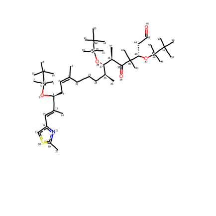 C/C(=C/C[C@H](O[Si](C)(C)C(C)(C)C)/C(C)=C/c1csc(C)n1)CCC[C@H](C)[C@H](O[Si](C)(C)C(C)(C)C)[C@@H](C)C(=O)C(C)(C)[C@H](CC=O)O[Si](C)(C)C(C)(C)C